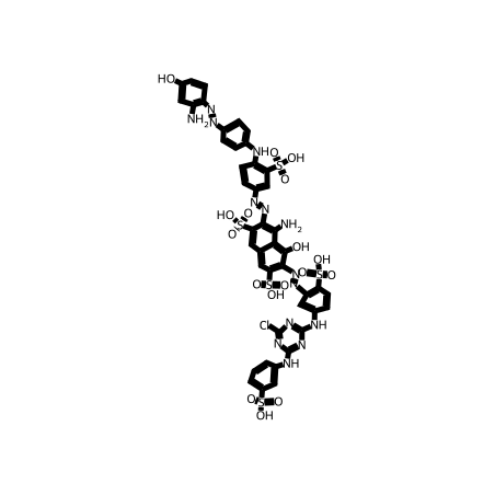 Nc1cc(O)ccc1N=Nc1ccc(Nc2ccc(N=Nc3c(S(=O)(=O)O)cc4cc(S(=O)(=O)O)c(N=Nc5cc(Nc6nc(Cl)nc(Nc7cccc(S(=O)(=O)O)c7)n6)ccc5S(=O)(=O)O)c(O)c4c3N)cc2S(=O)(=O)O)cc1